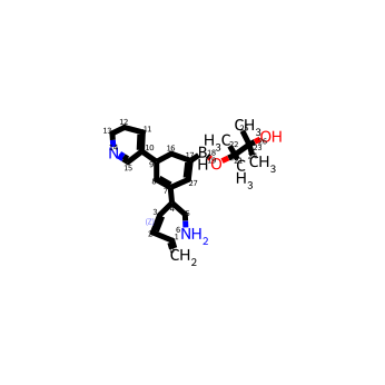 C=C/C=C\C(CN)C1=CC(C2=CCCN=C2)CC(BOC(C)(C)C(C)(C)O)=C1